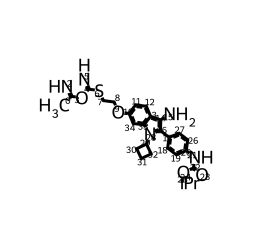 CC(=N)OC(=N)SCCOc1ccc2c(N)c(-c3ccc(NC(=O)OC(C)C)cc3)n(C3CCC3)c2c1